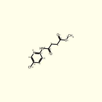 COC(=O)CCC(=O)Nc1ccc(Cl)cn1